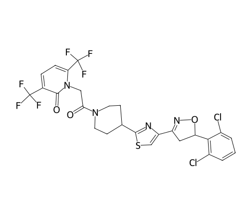 O=C(Cn1c(C(F)(F)F)ccc(C(F)(F)F)c1=O)N1CCC(c2nc(C3=NOC(c4c(Cl)cccc4Cl)C3)cs2)CC1